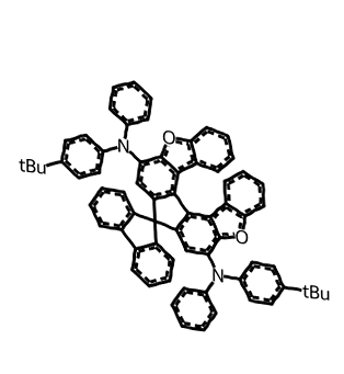 CC(C)(C)c1ccc(N(c2ccccc2)c2cc3c(c4c2oc2ccccc24)-c2c(cc(N(c4ccccc4)c4ccc(C(C)(C)C)cc4)c4oc5ccccc5c24)C32c3ccccc3-c3ccccc32)cc1